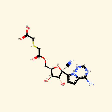 N#C[C@@]1(c2ccc3c(N)ncnn23)O[C@H](COC(=O)CSCC(=O)O)[C@@H](O)[C@H]1O